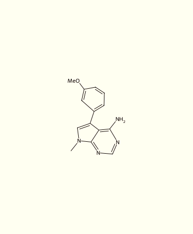 COc1cccc(-c2cn(C)c3ncnc(N)c23)c1